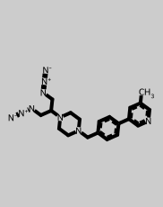 Cc1cncc(-c2ccc(CN3CCN(C(CN=[N+]=[N-])CN=[N+]=[N-])CC3)cc2)c1